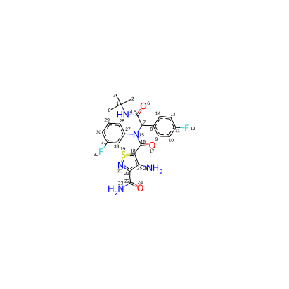 CC(C)(C)NC(=O)C(c1ccc(F)cc1)N(C(=O)c1snc(C(N)=O)c1N)c1cccc(F)c1